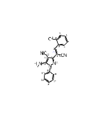 N#C/C(=C\c1ccccc1Cl)c1nn(-c2ccccc2)c(N)c1C#N